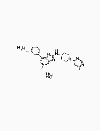 Cc1cc(-c2cccc(CN)c2)c2nc(NC3CCN(c4cc(C)ncn4)CC3)nn2c1.Cl.Cl